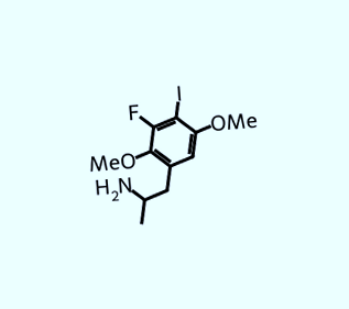 COc1cc(CC(C)N)c(OC)c(F)c1I